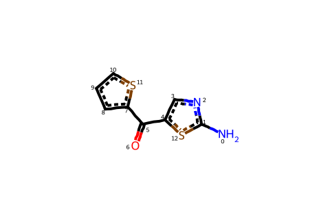 Nc1ncc(C(=O)c2cccs2)s1